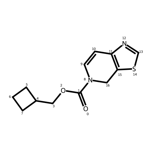 O=C(OCC1CCC1)N1C=Cc2ncsc2C1